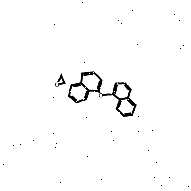 C1CO1.c1ccc2c(Oc3cccc4ccccc34)cccc2c1